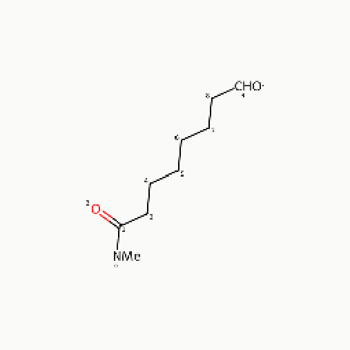 CNC(=O)CCCCCC[C]=O